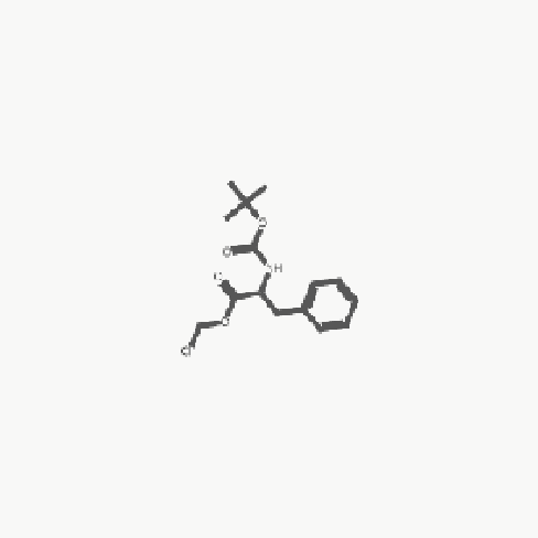 CC(C)(C)OC(=O)NC(Cc1ccccc1)C(=O)OCCl